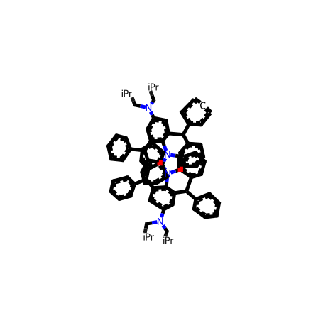 CC(C)CN(CC(C)C)c1cc(C(c2ccccc2)c2ccccc2)c(N2C=CN(c3c(C(c4ccccc4)c4ccccc4)cc(N(CC(C)C)CC(C)C)cc3C(c3ccccc3)c3ccccc3)C2)c(C(c2ccccc2)c2ccccc2)c1